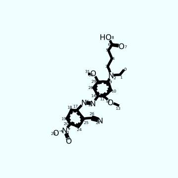 CCN(CCCC(=O)O)c1cc(OC)c(N=Nc2ccc([N+](=O)[O-])cc2C#N)cc1OC